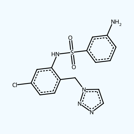 Nc1cccc(S(=O)(=O)Nc2cc(Cl)ccc2Cn2ccnn2)c1